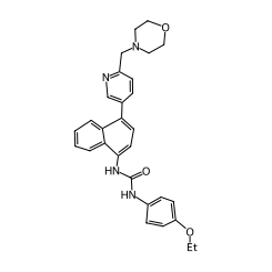 CCOc1ccc(NC(=O)Nc2ccc(-c3ccc(CN4CCOCC4)nc3)c3ccccc23)cc1